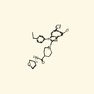 CCc1ccc(-n2c(N3CCC(C(=O)N[C@@H]4CCOC4)CC3)nc3cc(Cl)c(Cl)cc32)cc1